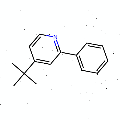 CC(C)(C)c1ccnc(-c2c[c]ccc2)c1